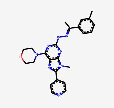 C/C(=N\Nc1nc(N2CCOCC2)c2nc(-c3ccncc3)n(C)c2n1)c1cccc(C)c1